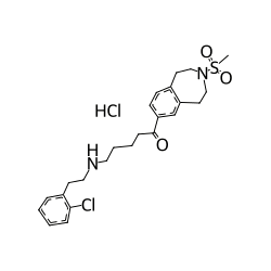 CS(=O)(=O)N1CCc2ccc(C(=O)CCCCNCCc3ccccc3Cl)cc2CC1.Cl